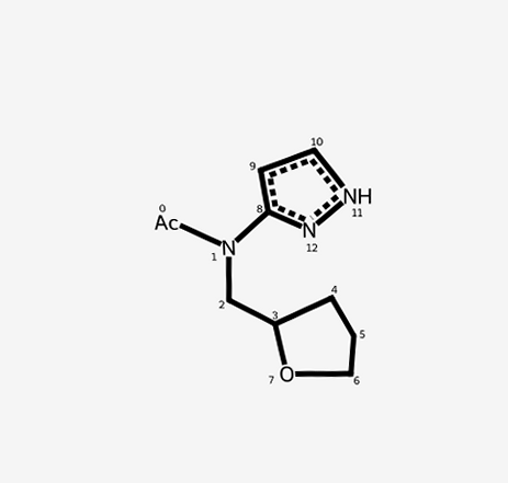 CC(=O)N(CC1CCCO1)c1cc[nH]n1